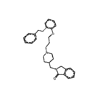 O=C1c2ccccc2CN1CC1CCN(CCCOc2ccccc2CCc2ccccc2)CC1